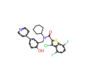 O=C(c1sc2c(F)ccc(F)c2c1Cl)N(Cc1cc(-c2ccncc2)ccc1O)C1CCCCC1